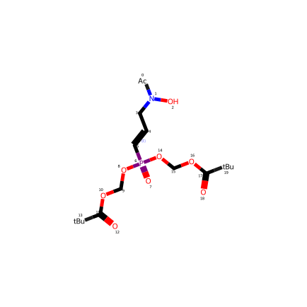 CC(=O)N(O)C/C=C/P(=O)(OCOC(=O)C(C)(C)C)OCOC(=O)C(C)(C)C